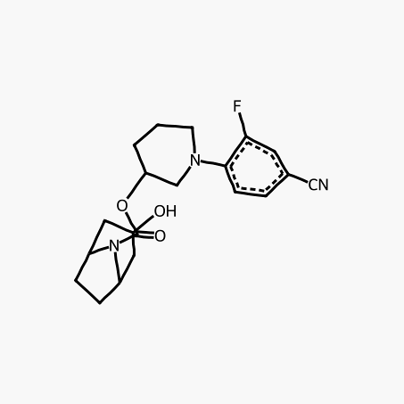 N#Cc1ccc(N2CCCC(OC(=O)N3C4CCC3CC(O)C4)C2)c(F)c1